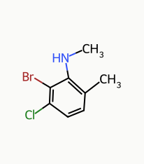 CNc1c(C)ccc(Cl)c1Br